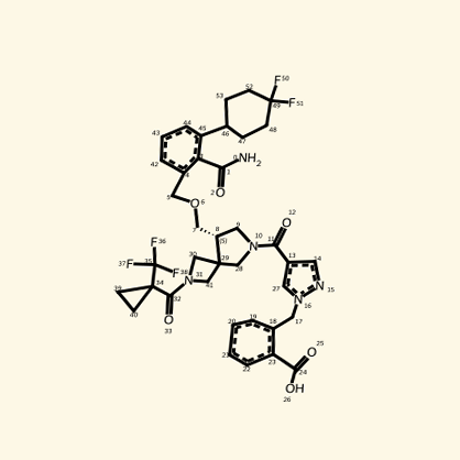 NC(=O)c1c(COC[C@@H]2CN(C(=O)c3cnn(Cc4ccccc4C(=O)O)c3)CC23CN(C(=O)C2(C(F)(F)F)CC2)C3)cccc1C1CCC(F)(F)CC1